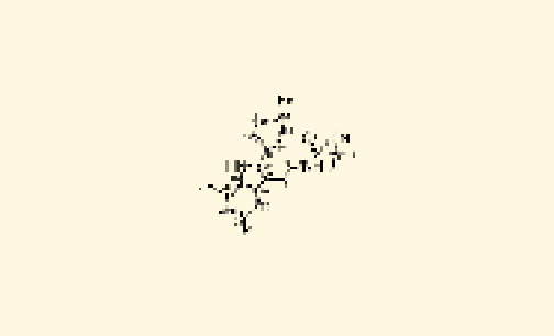 CC(C)(C#N)C(=O)NCCc1c(-c2ccc(F)cc2)[nH]c2c(F)cc(F)cc12